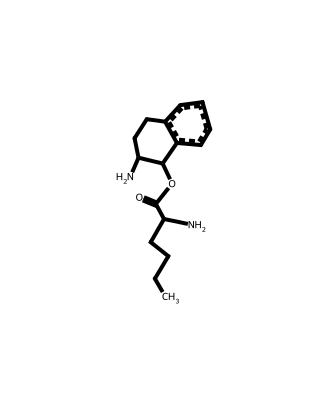 CCCCC(N)C(=O)OC1c2ccccc2CCC1N